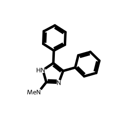 CNc1nc(-c2ccccc2)c(-c2ccccc2)[nH]1